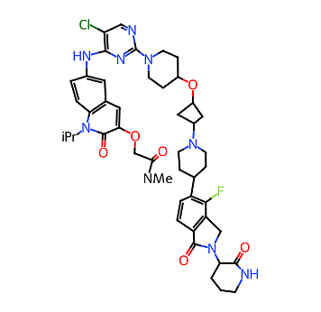 CNC(=O)COc1cc2cc(Nc3nc(N4CCC(OC5CC(N6CCC(c7ccc8c(c7F)CN(C7CCCNC7=O)C8=O)CC6)C5)CC4)ncc3Cl)ccc2n(C(C)C)c1=O